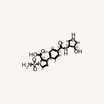 NS(=O)(=O)n1ccc(-c2ccc(C(=O)NC3CNCC3O)cc2)c1C(=O)O